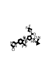 N#CC1(NC(=O)[C@@H]2C[C@@H](S(=O)(=O)c3ccc(-c4cncc(Cl)n4)cc3C(F)(F)F)C[C@H]2C(=O)N2CC(F)(F)C2)CC1